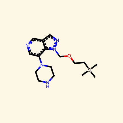 C[Si](C)(C)CCOCn1ncc2cncc(N3CCNCC3)c21